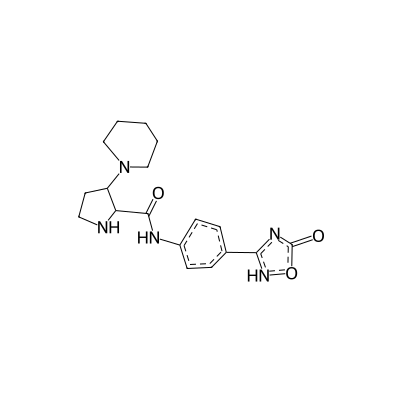 O=C(Nc1ccc(-c2nc(=O)o[nH]2)cc1)C1NCCC1N1CCCCC1